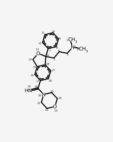 CN(C)CCCC1(c2ccccc2)OCc2cc(C(=N)N3CCOCC3)ccc21